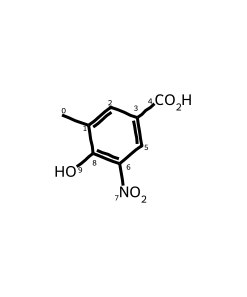 Cc1cc(C(=O)O)cc([N+](=O)[O-])c1O